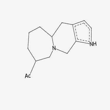 CC(=O)C1CCCC2Cc3cc[nH]c3CN2C1